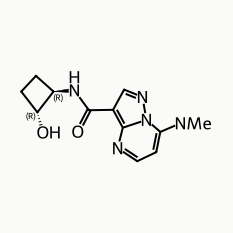 CNc1ccnc2c(C(=O)N[C@@H]3CC[C@H]3O)cnn12